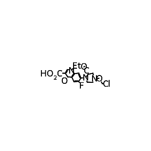 CCn1cc(C(=O)O)c(=O)c2cc(F)c(N3CCN(OCCl)CC3=C=O)cc21